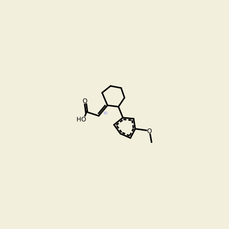 COc1cccc(C2CCCC/C2=C\C(=O)O)c1